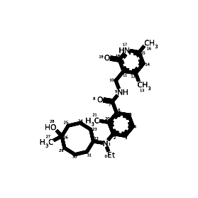 CCN(c1cccc(C(=O)NCc2c(C)cc(C)[nH]c2=O)c1C)C1CCCC(C)(O)CCC1